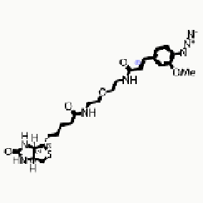 COc1cc(/C=C/C(=O)NCCOCCNC(=O)CCCC[C@@H]2SC[C@@H]3NC(=O)N[C@@H]32)ccc1N=[N+]=[N-]